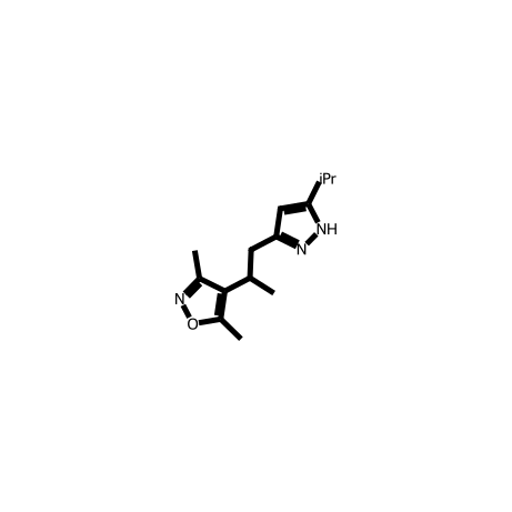 Cc1noc(C)c1C(C)Cc1cc(C(C)C)[nH]n1